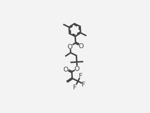 C=C(C(=O)OC(C)(C)CC(C)OC(=O)c1cc(C)ccc1C)C(F)(F)F